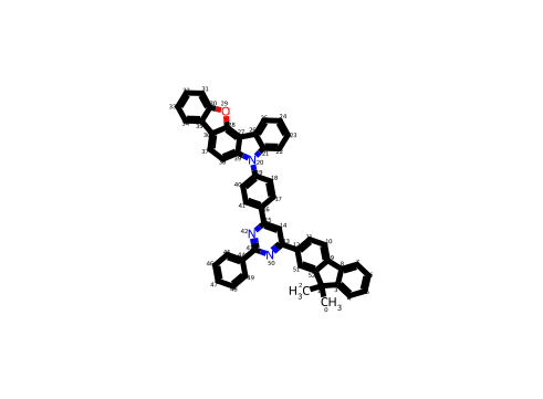 CC1(C)c2ccccc2-c2ccc(-c3cc(-c4ccc(-n5c6ccccc6c6c7oc8ccccc8c7ccc65)cc4)nc(-c4ccccc4)n3)cc21